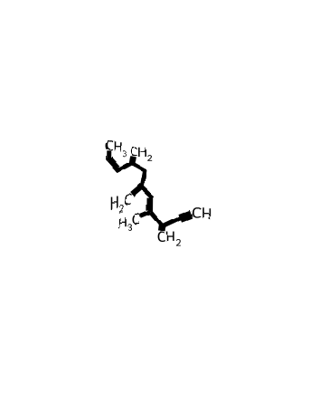 C#CC(=C)/C(C)=C/C(=C)CC(=C)/C=C\C